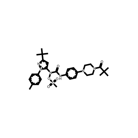 Cc1ccc(-n2nc(C(C)(C)C)cc2N(OS(C)(=O)=O)C(=O)Nc2ccc(N3CCN(C(=O)C(C)(C)C)CC3)cc2)cc1